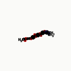 C=CC(=O)OCCCCOc1ccc(C(=O)Oc2ccc(OC(=O)c3ccc(O[n+]4ccc(N(C)C)cc4)cc3)cc2)cc1